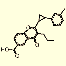 CCCc1c(C2CC2c2cccc(C)c2)oc2ccc(C(=O)O)cc2c1=O